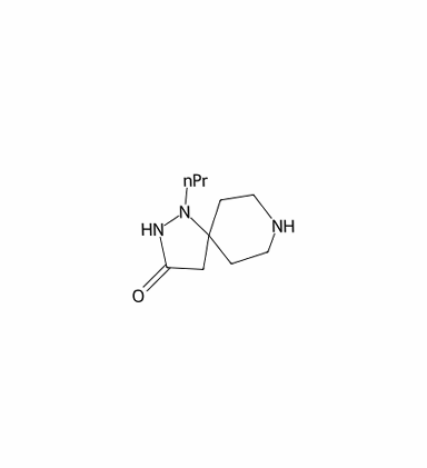 CCCN1NC(=O)CC12CCNCC2